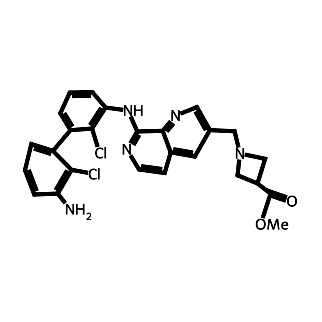 COC(=O)C1CN(Cc2cnc3c(Nc4cccc(-c5cccc(N)c5Cl)c4Cl)nccc3c2)C1